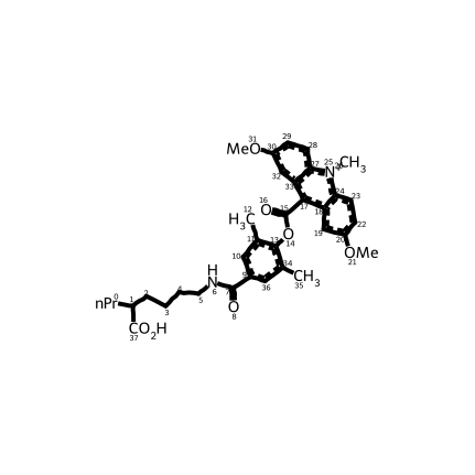 CCCC(CCCCNC(=O)c1cc(C)c(OC(=O)c2c3cc(OC)ccc3[n+](C)c3ccc(OC)cc23)c(C)c1)C(=O)O